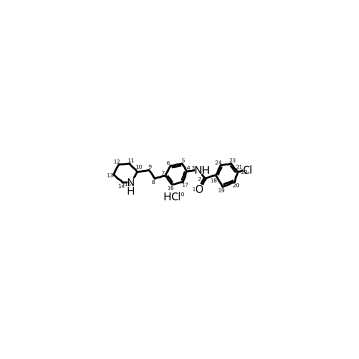 Cl.O=C(Nc1ccc(CCC2CCCCN2)cc1)c1ccc(Cl)cc1